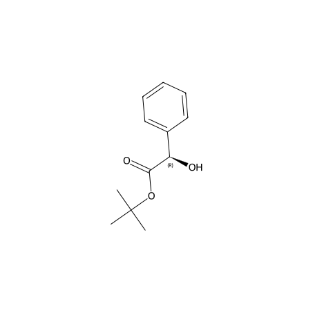 CC(C)(C)OC(=O)[C@H](O)c1ccccc1